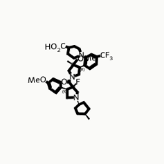 COC[C@@]1(C)CN(C(=O)[C@]2(F)CN([C@H]3CC[C@H](C)CC3)C[C@H]2c2ccc(OC)cc2)C[C@@H]1c1ccc(C(F)(F)F)cc1N1CCC(C(=O)O)CC1